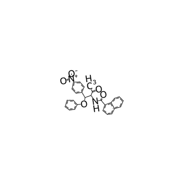 CC(=O)C(NC(=O)c1cccc2ccccc12)C(Oc1ccccc1)c1ccc([N+](=O)[O-])cc1